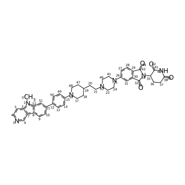 Cn1c2ccncc2c2ccc(-c3ccc(N4CCC(CCN5CCN(c6ccc7c(c6)C(=O)N(C6CCC(=O)NC6=O)C7=O)CC5)CC4)cc3)cc21